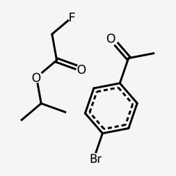 CC(=O)c1ccc(Br)cc1.CC(C)OC(=O)CF